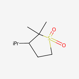 CC(C)C1CCS(=O)(=O)C1(C)C